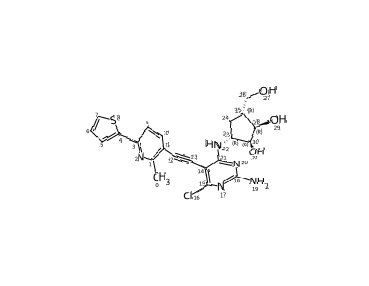 Cc1nc(-c2cccs2)ccc1C#Cc1c(Cl)nc(N)nc1N[C@@H]1C[C@H](CO)[C@@H](O)[C@H]1O